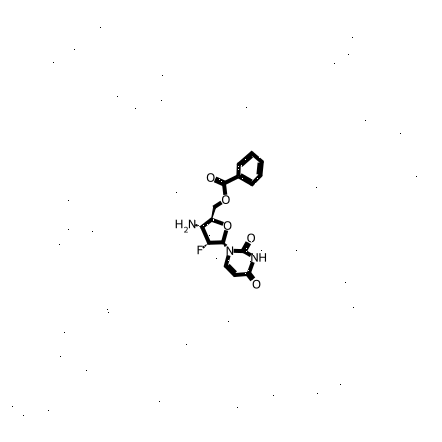 N[C@H]1[C@@H](F)[C@H](n2ccc(=O)[nH]c2=O)O[C@@H]1COC(=O)c1ccccc1